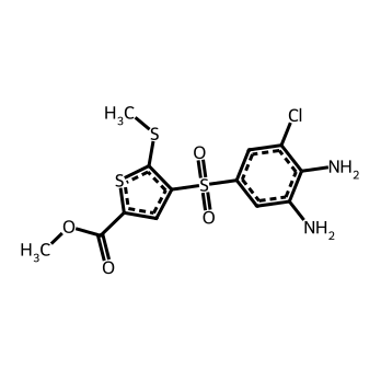 COC(=O)c1cc(S(=O)(=O)c2cc(N)c(N)c(Cl)c2)c(SC)s1